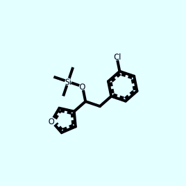 C[Si](C)(C)OC(Cc1cccc(Cl)c1)c1ccoc1